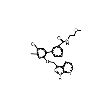 COCCNC(=O)c1cccc(-c2cc(Cl)c(C)cc2OCc2n[nH]c3ncccc23)c1